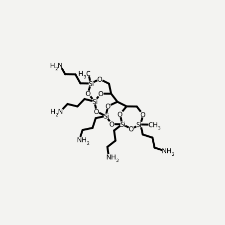 C[Si]1(CCCN)OCC2O[Si](CCCN)(O1)O[Si]1(CCCN)OC2C2CO[Si](C)(CCCN)O[Si](CCCN)(O2)O1